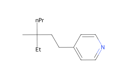 CCCC(C)(CC)CCc1ccncc1